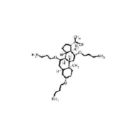 CC(O)[C@H]1CC[C@H]2[C@@H]3[C@H](OCCCN)C[C@@H]4C[C@H](OCCCN)CC[C@]4(C)[C@H]3C[C@H](OCCCN)[C@]12C